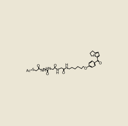 CC(=O)SCC(=O)NCC(=O)NCC(=O)NCC(=O)NCCCCCCOc1ccc(C(=O)c2ccc3n2CCC3)cc1